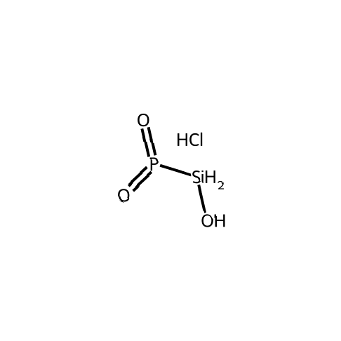 Cl.O=P(=O)[SiH2]O